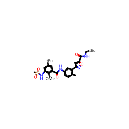 COc1c(NS(C)(=O)=O)cc(C(C)(C)C)cc1C(=O)Nc1ccc(C)c(-c2cc(C(=O)NCC(C)(C)C)on2)c1